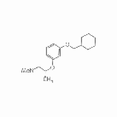 CNC[C@@H](C)Oc1cccc(OCC2CCCCC2)c1